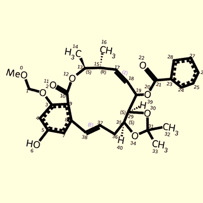 COCOc1cc(O)cc2c1C(=O)O[C@@H](C)[C@H](C)/C=C\C(OC(=O)c1ccccc1)[C@H]1OC(C)(C)O[C@H]1C/C=C/2